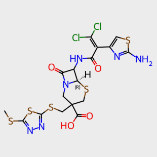 CSc1nnc(SCC2(C(=O)O)CS[C@@H]3C(NC(=O)C(=C(Cl)Cl)c4csc(N)n4)C(=O)N3C2)s1